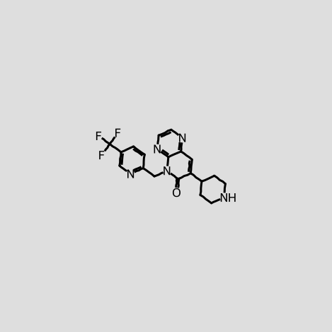 O=c1c(C2CCNCC2)cc2nccnc2n1Cc1ccc(C(F)(F)F)cn1